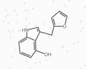 Oc1cccc2[nH]cc(Cc3ccco3)c12